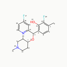 Cc1ccc(C(OC2CCN(C)CC2)c2cc(F)ccn2)c(O)c1F